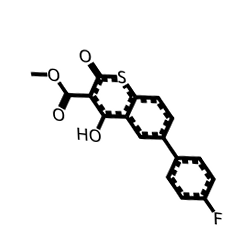 COC(=O)c1c(O)c2cc(-c3ccc(F)cc3)ccc2sc1=O